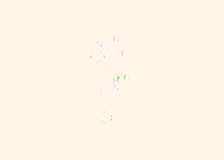 Cc1nc2cccc(OCC(O)CNC(C)(C)CCc3ccccc3)n2c1C.Cl.Cl